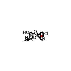 Cc1cc([C@@H](C)C(=O)N2C[C@H](O)C[C@H]2C(=O)NC(C)(Cc2ccncc2)c2ccc(Cl)cc2)on1